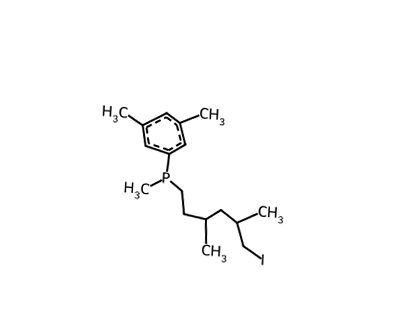 Cc1cc(C)cc(P(C)CCC(C)CC(C)CI)c1